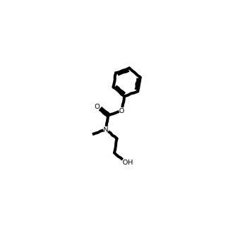 CN(CCO)C(=O)Oc1ccccc1